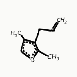 C=CCc1c(C)coc1C